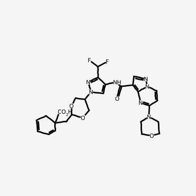 O=C(Nc1cn(C2COC(CC3(C(=O)O)C=CC=CC3)OC2)nc1C(F)F)c1cnn2ccc(N3CCOCC3)nc12